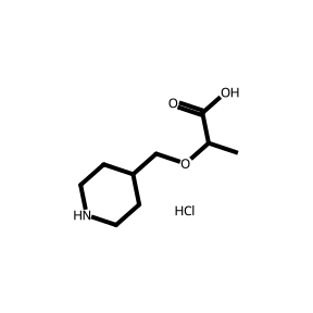 CC(OCC1CCNCC1)C(=O)O.Cl